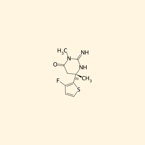 CN1C(=N)N[C@](C)(c2sccc2F)CC1=O